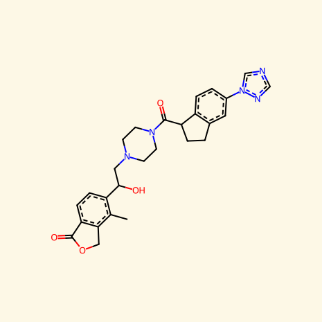 Cc1c(C(O)CN2CCN(C(=O)C3CCc4cc(-n5cncn5)ccc43)CC2)ccc2c1COC2=O